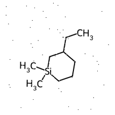 C[CH]C1CCC[Si](C)(C)C1